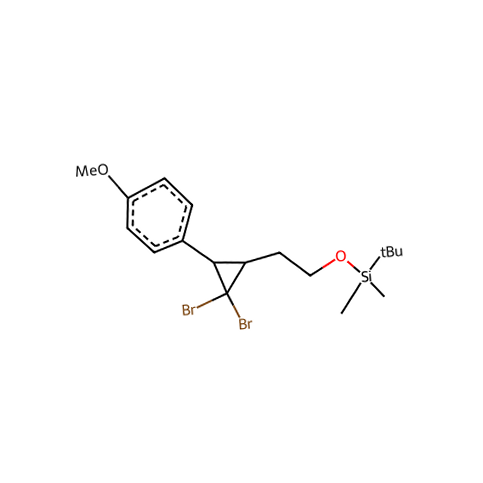 COc1ccc(C2C(CCO[Si](C)(C)C(C)(C)C)C2(Br)Br)cc1